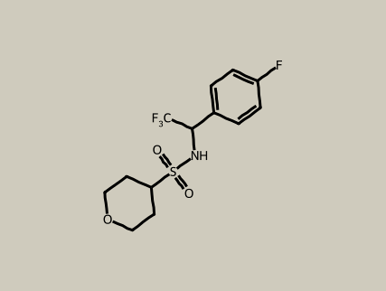 O=S(=O)(NC(c1ccc(F)cc1)C(F)(F)F)C1CCOCC1